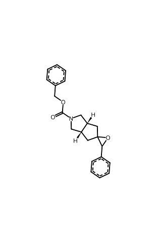 O=C(OCc1ccccc1)N1C[C@@H]2CC3(C[C@@H]2C1)OC3c1ccccc1